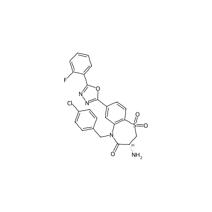 N[C@H]1CS(=O)(=O)c2ccc(-c3nnc(-c4ccccc4F)o3)cc2N(Cc2ccc(Cl)cc2)C1=O